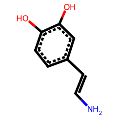 N/C=C/c1ccc(O)c(O)c1